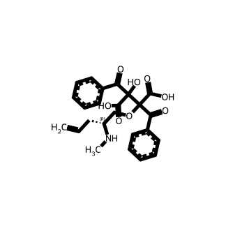 C=CC[C@H](COC(C(=O)O)(C(=O)c1ccccc1)C(O)(C(=O)O)C(=O)c1ccccc1)NC